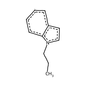 CCCn1ccc2c[c]ccc21